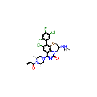 C=CC(=O)N1[C@H](C)CN(c2nc(=O)n3c4c(c(-c5cc(Cl)c(F)cc5F)c(Cl)cc24)SCC(NCCC)C3)C[C@@H]1C